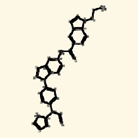 CCOn1ccc2cc(C(=O)Nc3ccc4c(cnn4-c4ccc(N(C=O)c5ccc[nH]5)cc4)c3)ccc21